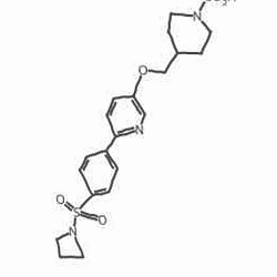 O=C(O)N1CCC(COc2ccc(-c3ccc(S(=O)(=O)N4CCC4)cc3)nc2)CC1